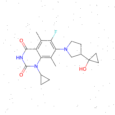 Cc1c(F)c(N2CCC(C3(O)CC3)C2)c(C)c2c1c(=O)[nH]c(=O)n2C1CC1